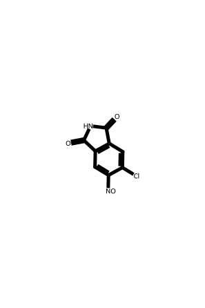 O=Nc1cc2c(cc1Cl)C(=O)NC2=O